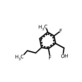 CCCc1cc(C)c(F)c(CO)c1F